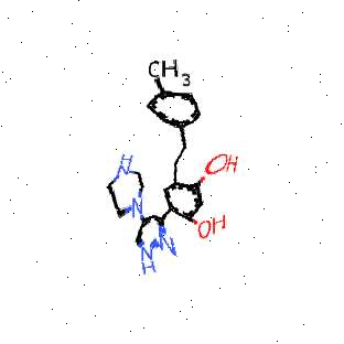 Cc1ccc(CCc2cc(-c3n[nH]cc3N3CCNCC3)c(O)cc2O)cc1